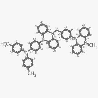 Cc1ccc(N(c2ccc(C)cc2)c2ccc(N3c4ccccc4N(Cc4ccc(N5c6ccccc6N(C)c6ccccc65)cc4)c4ccccc43)cc2)cc1